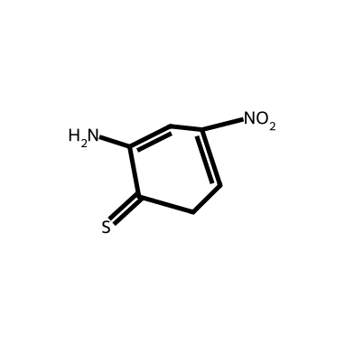 NC1=CC([N+](=O)[O-])=CCC1=S